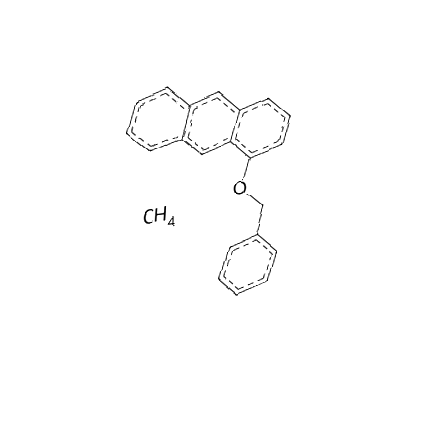 C.c1ccc(COc2cccc3cc4ccccc4cc23)cc1